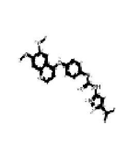 COc1cc2nccc(Oc3ccc(NC(=O)Nc4cc(C(C)C)on4)cc3)c2cc1OC